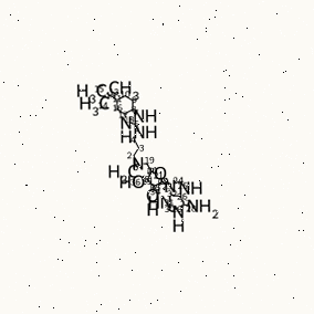 CN(CCCNC1NC2CCC(C(C)(C)C)CC2N1)C[C@H]1O[C@@H](N2CNC3C(N)NCNC32)[C@H](O)[C@@H]1O